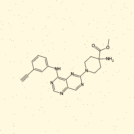 C#Cc1cccc(Nc2ncnc3cnc(N4CCC(N)(C(=O)OC)CC4)nc23)c1